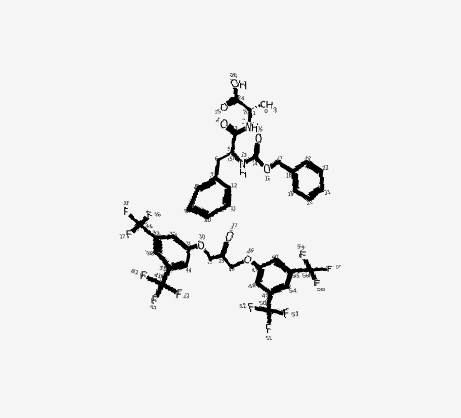 C[C@H](NC(=O)[C@H](Cc1ccccc1)NC(=O)OCc1ccccc1)C(=O)O.O=C(COc1cc(C(F)(F)F)cc(C(F)(F)F)c1)COc1cc(C(F)(F)F)cc(C(F)(F)F)c1